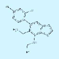 CC(C)CNc1c(CN)c(-c2ccc(Cl)cc2Cl)cn2ccnc12